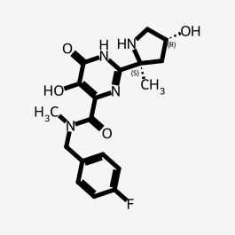 CN(Cc1ccc(F)cc1)C(=O)c1nc([C@]2(C)C[C@@H](O)CN2)[nH]c(=O)c1O